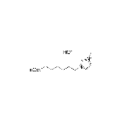 CCCCCCCCCCCCCCn1cc[n+](C)c1.[OH-]